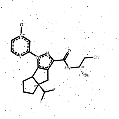 CC(C)(C)[C@@H](CO)NC(=O)c1nn(-c2c[n+]([O-])ccn2)c2c1C[C@]1(C(F)F)CCCC21